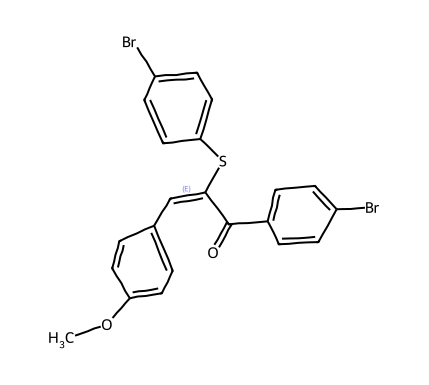 COc1ccc(/C=C(/Sc2ccc(Br)cc2)C(=O)c2ccc(Br)cc2)cc1